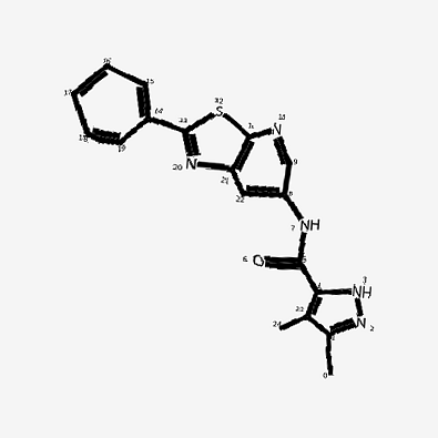 Cc1n[nH]c(C(=O)Nc2cnc3sc(-c4ccccc4)nc3c2)c1C